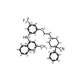 Cc1cc(Nc2cc(OCCN3CCC(C#N)(c4ccccc4)CC3)cc(C(F)(F)F)c2)c2ccccc2n1